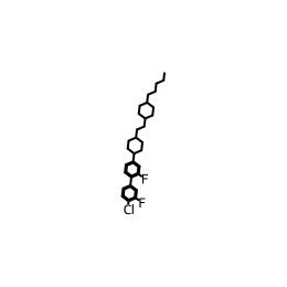 CCCCCC1CCC(CCC2CCC(c3ccc(-c4ccc(Cl)c(F)c4)c(F)c3)CC2)CC1